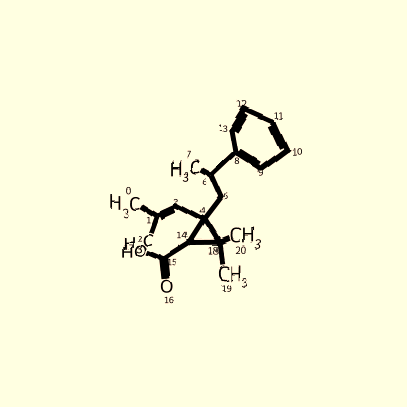 CC(C)=CC1(CC(C)c2ccccc2)C(C(=O)O)C1(C)C